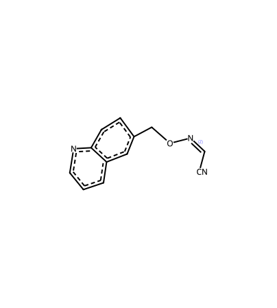 N#C/C=N\OCc1ccc2ncccc2c1